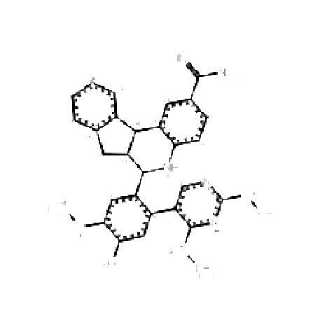 COc1ncc(-c2cc(O)c(OC)cc2C2Nc3ccc(C(=N)N)cc3C3c4ccccc4CC23)c(OC)n1